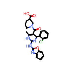 CC1=C(C(=O)N2CCCC(C(=O)O)C2)C(c2ccccc2Cl)N=C(Nc2nc3ccccc3o2)N1